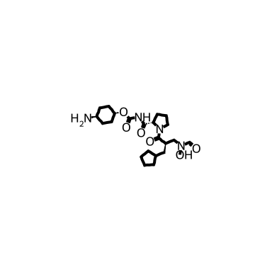 N[C@H]1CC[C@H](OC(=O)NC(=O)[C@@H]2CCCN2C(=O)[C@H](CC2CCCC2)CN(O)C=O)CC1